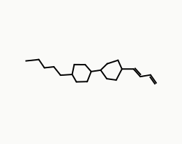 C=CC=CC1CCC(C2CCC(CCCCC)CC2)CC1